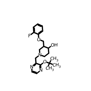 CC(C)(C)Oc1nccnc1CN1CCC(O)C(COc2ccccc2F)C1